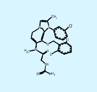 CC1=CN2CC=C(N(C)C(=O)CNC(N)=O)C(OCc3c(Cl)cccc3Cl)=C2N1c1cccc(Cl)c1